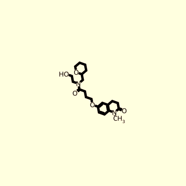 CN1C(=O)CCc2cc(OCCCC(=O)N(CCO)CC3CCCCO3)ccc21